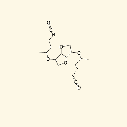 CC(CCN=C=O)OC1COC2C(OC(C)CCN=C=O)COC12